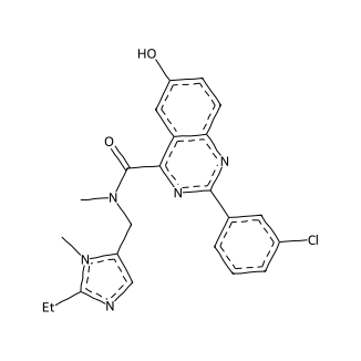 CCc1ncc(CN(C)C(=O)c2nc(-c3cccc(Cl)c3)nc3ccc(O)cc23)n1C